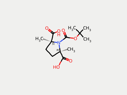 CC(C)(C)OC(=O)N1[C@](C)(C(=O)O)CC[C@]1(C)C(=O)O